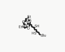 CCN1CC(=O)N(C(N2C(=O)CN(CC)C2=S)C(C)(C)CCC(S)CCC(S)CCC(C)(C)C)C1=S